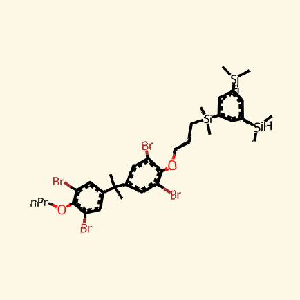 CCCOc1c(Br)cc(C(C)(C)c2cc(Br)c(OCCC[Si](C)(C)c3cc([SiH](C)C)cc([SiH](C)C)c3)c(Br)c2)cc1Br